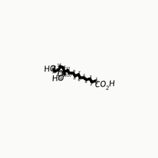 O=C(O)CCCCCCCCCCCC1(CO)CCC(CO)O1